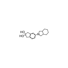 OS1(O)Cc2ccc(N3CC4CCCCC4C3)cc2C1